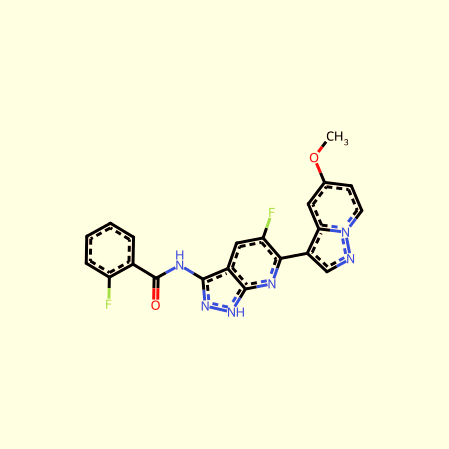 COc1ccn2ncc(-c3nc4[nH]nc(NC(=O)c5ccccc5F)c4cc3F)c2c1